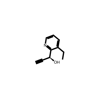 C#C[C@H](O)c1ncccc1CC